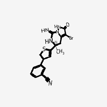 C[C@@]1(C2=CC(c3cccc(C#N)c3)CS2)Cc2c(Br)c(=O)[nH]n2C(=N)N1